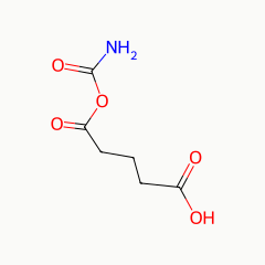 NC(=O)OC(=O)CCCC(=O)O